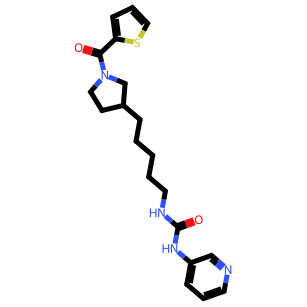 O=C(NCCCCCC1CCN(C(=O)c2cccs2)C1)Nc1cccnc1